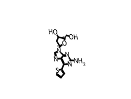 Nc1nc(-c2cccs2)c2ncn([C@H]3CC(O)[C@@H](CO)O3)c2n1